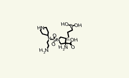 NCCN(C1CCNCC1)S(=O)(=O)N1C[C@H](CCCB(O)O)[C@](N)(C(=O)O)C1